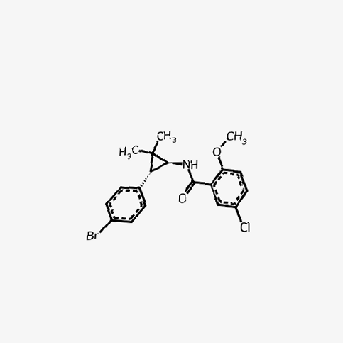 COc1ccc(Cl)cc1C(=O)N[C@H]1[C@H](c2ccc(Br)cc2)C1(C)C